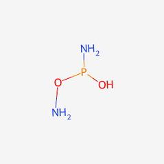 NOP(N)O